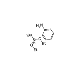 CCCC[SiH](OCC)OCC.Nc1ccccc1